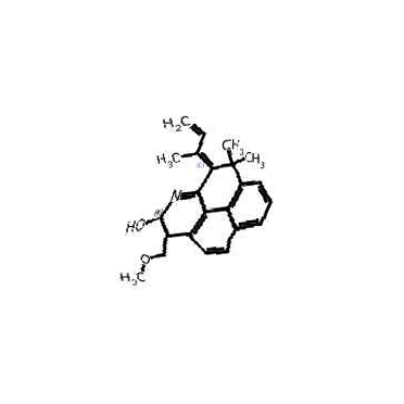 C=C/C(C)=C1/C2=N[C@H](O)C(COC)c3ccc4cccc(c4c32)C1(C)C